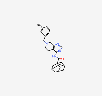 N#Cc1cccc(CN2CCc3c(ncnc3NC(=O)C34CC5CC(CC(C5)C3)C4)C2)c1